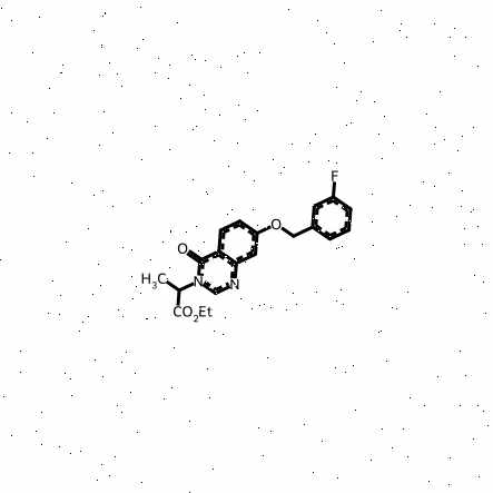 CCOC(=O)C(C)n1cnc2cc(OCc3cccc(F)c3)ccc2c1=O